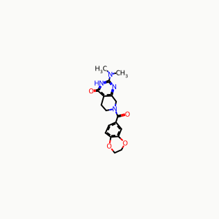 CN(C)c1nc2c(c(=O)[nH]1)CCN(C(=O)c1ccc3c(c1)OCCO3)C2